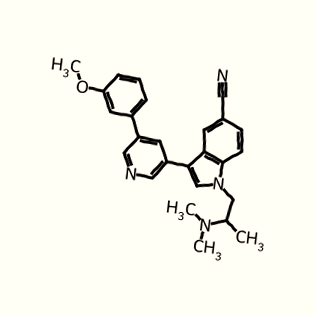 COc1cccc(-c2cncc(-c3cn(CC(C)N(C)C)c4ccc(C#N)cc34)c2)c1